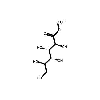 O=C(OS(=O)(=O)O)[C@@H](O)[C@@H](O)[C@H](O)[C@H](O)CO